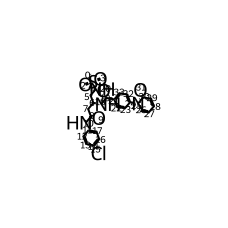 CS(=O)(=O)NCC(CC(=O)Nc1ccc(Cl)cc1)NC(=O)c1ccc(-n2ccccc2=O)cc1